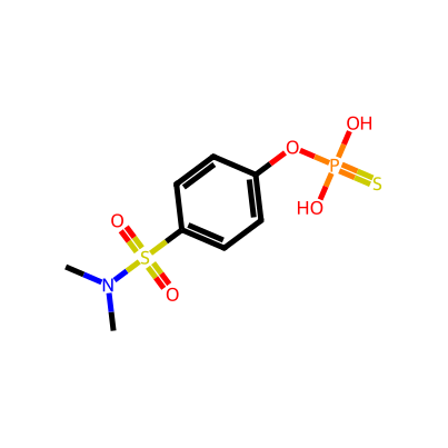 CN(C)S(=O)(=O)c1ccc(OP(O)(O)=S)cc1